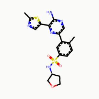 Cc1ncc(-c2nc(-c3cc(S(=O)(=O)N[C@H]4CCOC4)ccc3C)cnc2N)s1